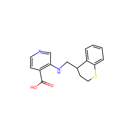 O=C(O)c1ccncc1NCC1CCSc2ccccc21